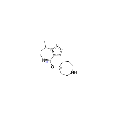 C/N=C(/O[C@@H]1CCCNCC1)c1ccnn1C(C)C